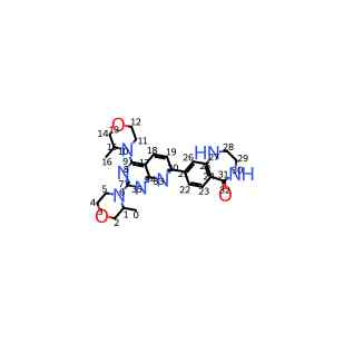 CC1COCCN1c1nc(N2CCOCC2C)c2ccc(-c3ccc4c(c3)NCCNC4=O)nc2n1